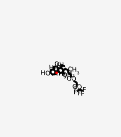 C[C@H](CCC(=O)OCCC(=O)OC(C(F)F)C(F)(F)F)[C@H]1CC[C@H]2[C@@H]3C(O)C[C@@H]4CC(O)CC[C@]4(C)[C@H]3CC(O)[C@]12C